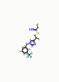 CCC(=N)SCC(C)c1cn(Cc2cccc(C(F)(F)F)c2)cn1